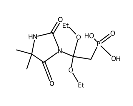 CCOC(CP(=O)(O)O)(OCC)N1C(=O)NC(C)(C)C1=O